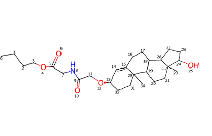 CCCCOC(=O)CNC(=O)CO[C@H]1C=C2CCC3C(CCC4(C)C(O)CCC34)C2(C)CC1